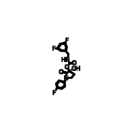 O=C(NCc1cc(F)cc(F)c1)O[C@@]1(O)CCN(c2ccc(F)cc2)C1=O